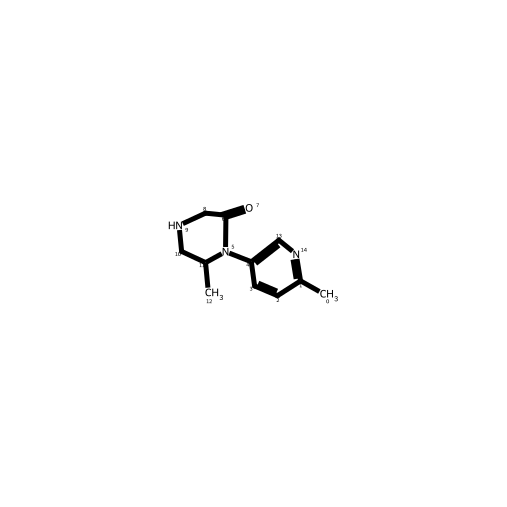 Cc1ccc(N2C(=O)CNCC2C)cn1